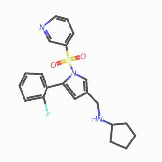 O=S(=O)(c1cccnc1)n1cc(CNC2CCCC2)cc1-c1ccccc1F